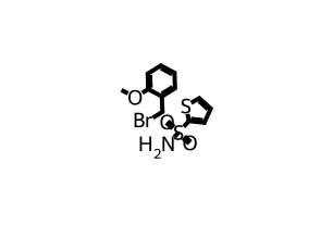 COc1ccccc1CBr.NS(=O)(=O)c1cccs1